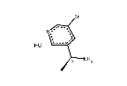 C[C@H](N)c1cncc(Br)c1.Cl